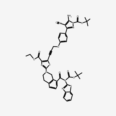 [C-]#[N+]c1c(-c2ccc(OCC#Cc3sc(N4CCc5cccc(C(=O)N(C(=O)OC(C)(C)C)c6nc7ccccc7s6)c5C4)nc3C(=O)OCC)cc2)nn(C(=O)OC(C)(C)C)c1N